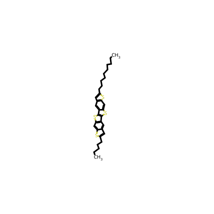 CCCCCCCCCCc1cc2cc3c(cc2s1)sc1c2cc4cc(CCCCC)sc4cc2sc31